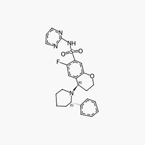 O=S(=O)(Nc1ncccn1)c1cc2c(cc1F)[C@H](N1CCCC[C@H]1c1ccccc1)CCO2